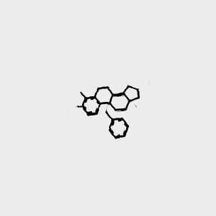 Cc1c(O)ccc2c1CCC1=C3C[C@H](O)C[C@]3(C)CC[C@@]12Cc1ccccc1